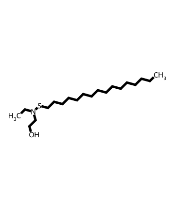 CCCCCCCCCCCCCCCCSN(CC)CCO